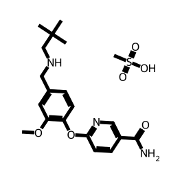 COc1cc(CNCC(C)(C)C)ccc1Oc1ccc(C(N)=O)cn1.CS(=O)(=O)O